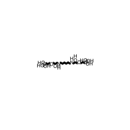 OC(CNCCCCCCNCC(O)COCCC[Si](O)(O)O)COCCC[Si](O)(O)O